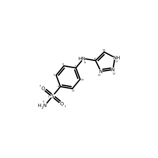 NS(=O)(=O)c1ccc(Nc2c[nH]nn2)cc1